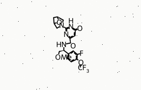 COC[C@@H](NC(=O)c1cc(=O)[nH]c(N2CC3CC(C2)O3)n1)c1ccc(OC(F)(F)F)c(F)c1